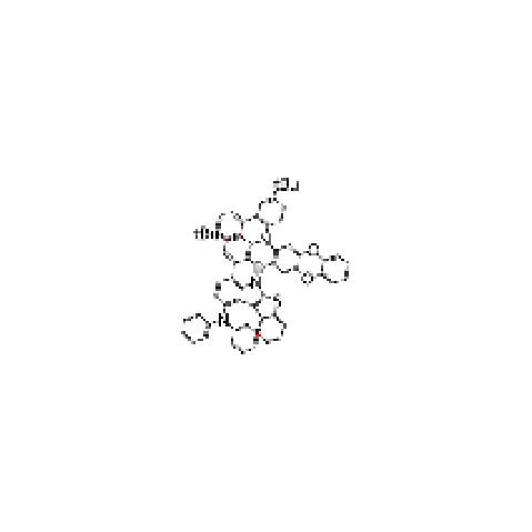 CC(C)(C)c1ccc(N2c3cc4c(cc3B3c5c(cc(C(C)(C)C)cc52)-c2ccc(N(c5ccccc5)c5ccccc5)c5c6c7ccccc7sc6n3c25)Oc2ccccc2O4)c(-c2ccccc2)c1